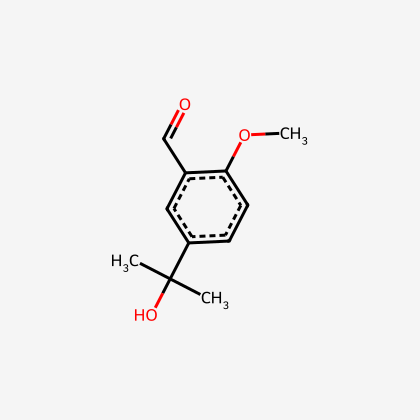 COc1ccc(C(C)(C)O)cc1C=O